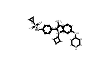 Nc1c(-c2ccc(NS(=O)(=O)C3CC3)cc2)n(C2CCC2)c2cc(OC3CCOCC3)ccc12